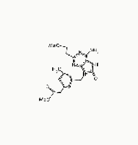 COCCc1nc(N)c2[nH]c(=O)n(Cc3cc(C)cc(CC(=O)OC)c3)c2n1